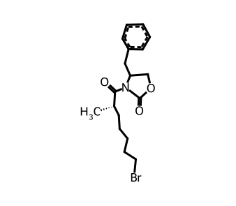 C[C@@H](CCCCCBr)C(=O)N1C(=O)OCC1Cc1ccccc1